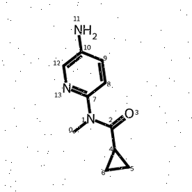 CN(C(=O)C1CC1)c1ccc(N)cn1